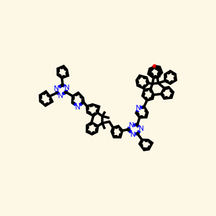 CC1(C)c2ccc(-c3ccc(-c4nc(-c5ccccc5)nc(-c5ccccc5)n4)cn3)cc2-c2ccccc2C1(C)Cc1cccc(-c2nc(-c3ccccc3)nc(-c3ccc(-c4ccc5c(c4)-c4ccccc4C(c4ccccc4)(c4ccccc4)C5(c4ccccc4)c4ccccc4)nc3)n2)c1